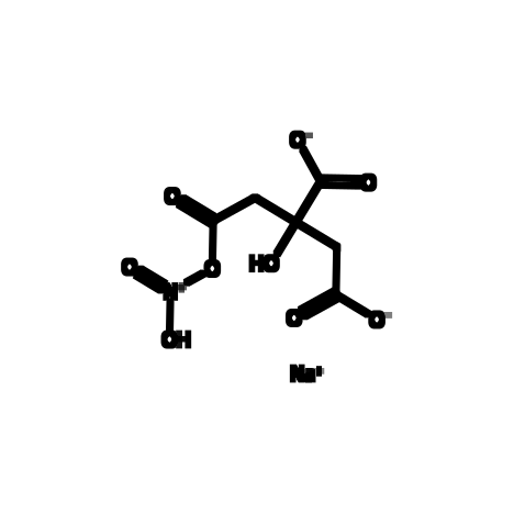 O=C([O-])CC(O)(CC(=O)O[N+](=O)O)C(=O)[O-].[Na+]